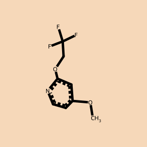 COc1ccnc(OCC(F)(F)F)c1